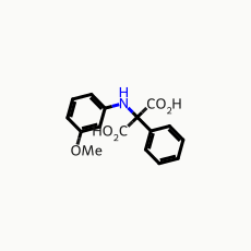 COc1cccc(NC(C(=O)O)(C(=O)O)c2ccccc2)c1